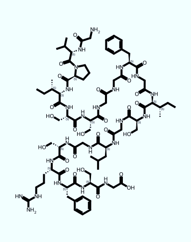 CC[C@H](C)[C@H](NC(=O)CNC(=O)[C@H](Cc1ccccc1)NC(=O)CNC(=O)CNC(=O)[C@H](CO)NC(=O)[C@H](CO)NC(=O)[C@@H](NC(=O)[C@@H]1CCCN1C(=O)[C@@H](NC(=O)CN)C(C)C)[C@@H](C)CC)C(=O)N[C@@H](CO)C(=O)NCC(=O)N[C@@H](CC(C)C)C(=O)NCC(=O)N[C@@H](CO)C(=O)N[C@@H](CCCNC(=N)N)C(=O)N[C@@H](Cc1ccccc1)C(=O)N[C@@H](CO)C(=O)NCC(=O)O